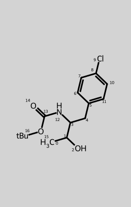 CC(O)C(Cc1ccc(Cl)cc1)NC(=O)OC(C)(C)C